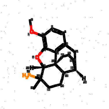 COc1ccc2c3c1O[C@@H]1C(C)(P)CCC4[C@@H](CCC[C@]341)C2